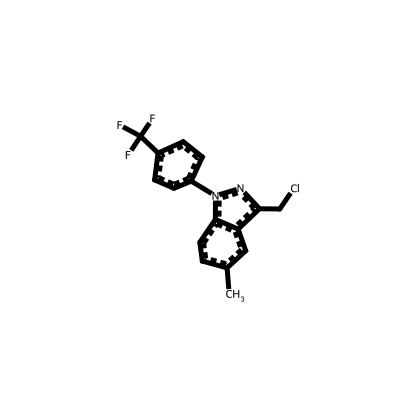 Cc1ccc2c(c1)c(CCl)nn2-c1ccc(C(F)(F)F)cc1